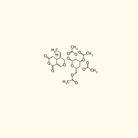 C/C=C1/[C@H](O[C@@H]2O[C@H](COC(C)=O)[C@@H](OC(C)=O)[C@H](OC(C)=O)[C@H]2OC(C)=O)OC=C2C(=O)OC(=O)C[C@H]21